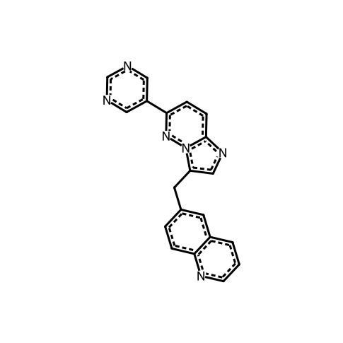 c1cnc2ccc(Cc3cnc4ccc(-c5cncnc5)nn34)cc2c1